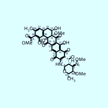 CO/N=C1\[C@@H](CO)[C@@H](NC2=CC(=O)c3c(cc4c(c3O)C(=O)[C@]3(OC)[C@H](O)Cc5cc(C)c(C(=O)OC)c(O)c5[C@]3(O)C4=O)C2=O)O[C@@H](C)[C@@H]1OC